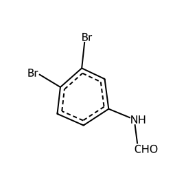 O=CNc1ccc(Br)c(Br)c1